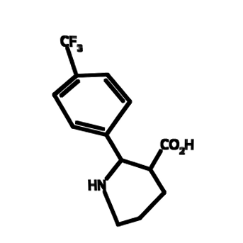 O=C(O)C1CCCNC1c1ccc(C(F)(F)F)cc1